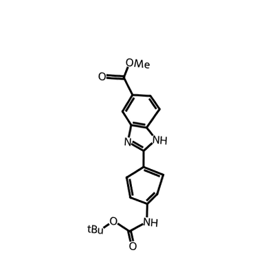 COC(=O)c1ccc2[nH]c(-c3ccc(NC(=O)OC(C)(C)C)cc3)nc2c1